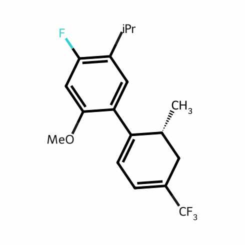 COc1cc(F)c(C(C)C)cc1C1=CC=C(C(F)(F)F)C[C@H]1C